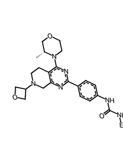 CCNC(=O)Nc1ccc(-c2nc3c(c(N4CCOC[C@H]4C)n2)CCN(C2COC2)C3)cc1